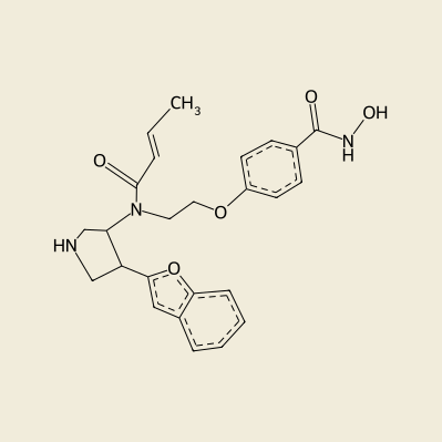 CC=CC(=O)N(CCOc1ccc(C(=O)NO)cc1)C1CNCC1c1cc2ccccc2o1